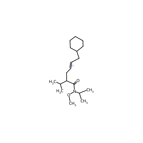 CON(C(=O)C(C/C=C/CC1CCCCC1)C(C)C)C(C)C